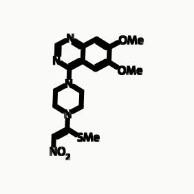 COc1cc2ncnc(N3CCN(/C(=C/[N+](=O)[O-])SC)CC3)c2cc1OC